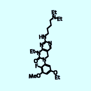 CCOc1cc(OC)c(F)c(N2Cc3cnc(NCCCCN(CC)CC)nc3N(CC)C2=O)c1